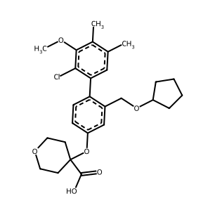 COc1c(C)c(C)cc(-c2ccc(OC3(C(=O)O)CCOCC3)cc2COC2CCCC2)c1Cl